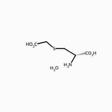 N[C@H](CSCC(=O)O)C(=O)O.O